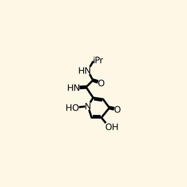 CC(C)NC(=O)C(=N)c1cc(=O)c(O)cn1O